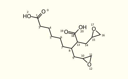 O=C(O)CCCCCC(CC1CO1)C(CC1CO1)C(=O)O